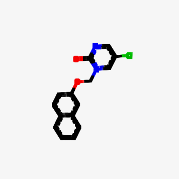 O=c1ncc(Cl)cn1COc1ccc2ccccc2c1